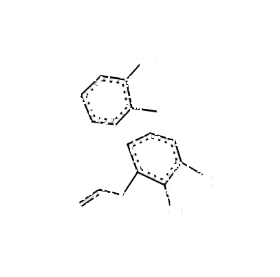 C=CCc1cccc(O)c1O.Oc1ccccc1O